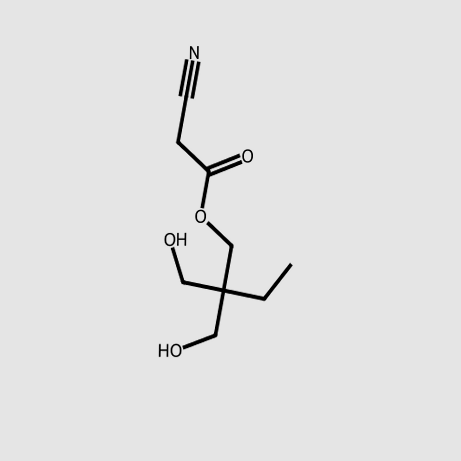 CCC(CO)(CO)COC(=O)CC#N